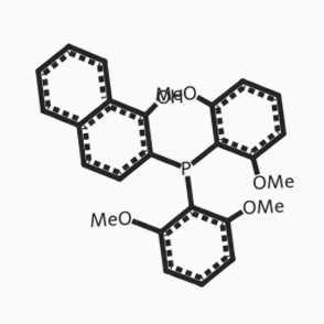 COc1cccc(OC)c1P(c1ccc2ccccc2c1O)c1c(OC)cccc1OC